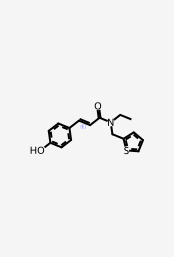 CCN(Cc1cccs1)C(=O)/C=C/c1ccc(O)cc1